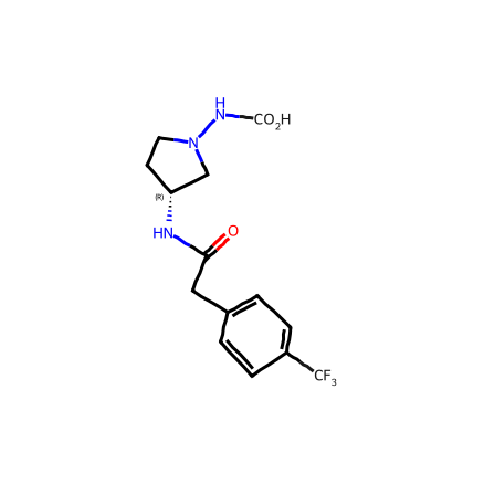 O=C(O)NN1CC[C@@H](NC(=O)Cc2ccc(C(F)(F)F)cc2)C1